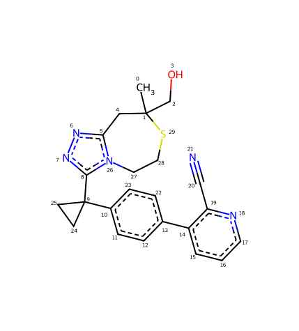 CC1(CO)Cc2nnc(C3(c4ccc(-c5cccnc5C#N)cc4)CC3)n2CCS1